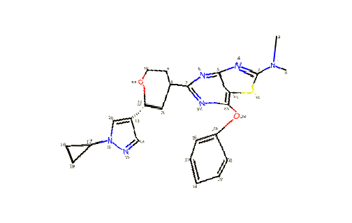 CN(C)c1nc2nc(C3CCO[C@@H](c4cnn(C5CC5)c4)C3)nc(Oc3ccccc3)c2s1